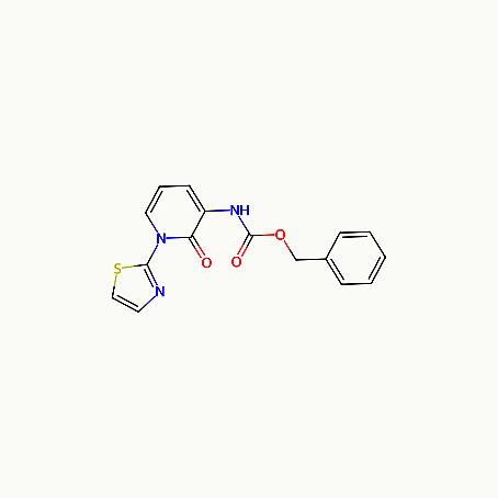 O=C(Nc1cccn(-c2nccs2)c1=O)OCc1ccccc1